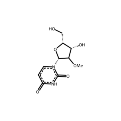 COC1[C@@H](O)[C@@H](CO)O[C@H]1n1ccc(=O)[nH]c1=O